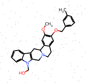 COc1cc2c(cc1OCc1cccc(C)c1)CCN1Cc3c(c4ccccc4n3CO)CC21